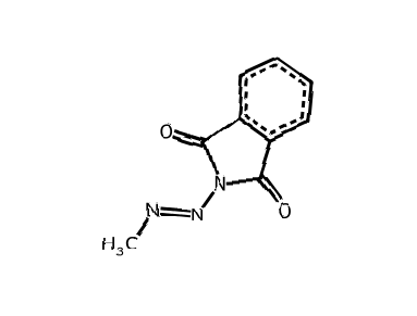 CN=NN1C(=O)c2ccccc2C1=O